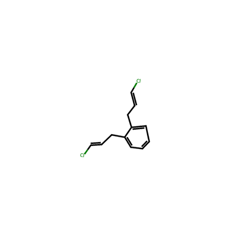 ClC=CCc1ccccc1CC=CCl